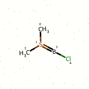 CS(C)=BCl